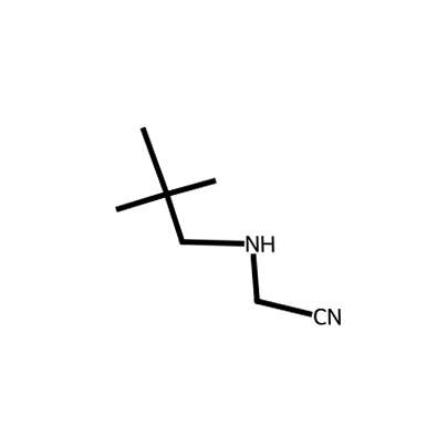 CC(C)(C)CNCC#N